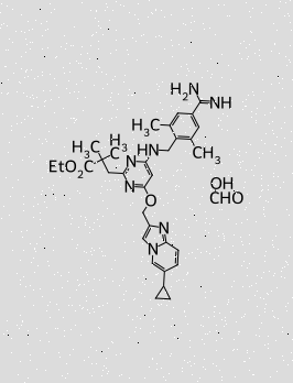 CCOC(=O)C(C)(C)Cc1nc(NCc2c(C)cc(C(=N)N)cc2C)cc(OCc2cn3cc(C4CC4)ccc3n2)n1.O=CO